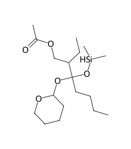 CCCCC(OC1CCCCO1)(O[SiH](C)C)C(CC)COC(C)=O